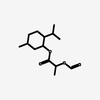 CC1CCC(C(C)C)C(OC(=O)C(C)OC=O)C1